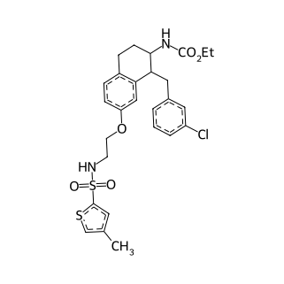 CCOC(=O)NC1CCc2ccc(OCCNS(=O)(=O)c3cc(C)cs3)cc2C1Cc1cccc(Cl)c1